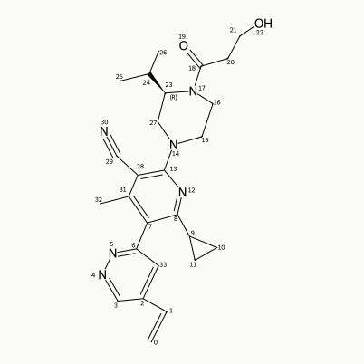 C=Cc1cnnc(-c2c(C3CC3)nc(N3CCN(C(=O)CCO)[C@H](C(C)C)C3)c(C#N)c2C)c1